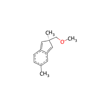 COC[C@]1(C)C=c2ccc(C)cc2=C1